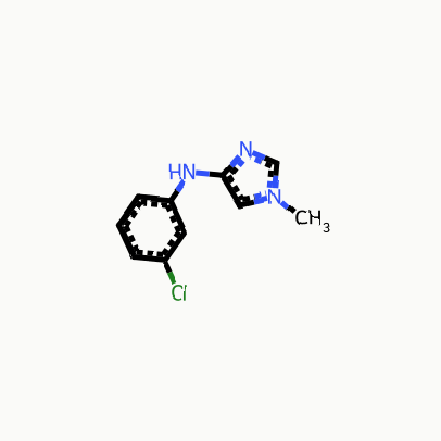 Cn1cnc(Nc2cccc(Cl)c2)c1